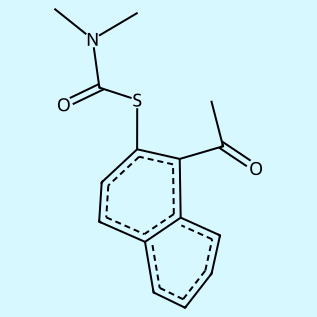 CC(=O)c1c(SC(=O)N(C)C)ccc2ccccc12